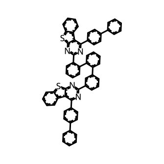 c1ccc(-c2ccc(-c3nc(-c4cccc(-c5ccccc5-c5ccccc5-c5nc(-c6ccc(-c7ccccc7)cc6)c6c(n5)sc5ccccc56)c4)nc4sc5ccccc5c34)cc2)cc1